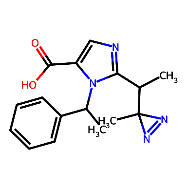 CC(c1ccccc1)n1c(C(=O)O)cnc1C(C)C1(C)N=N1